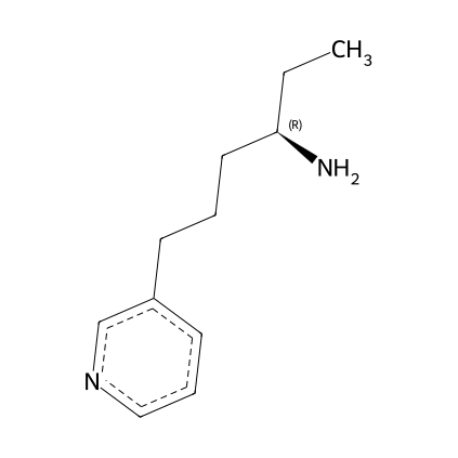 CC[C@@H](N)CCCc1cccnc1